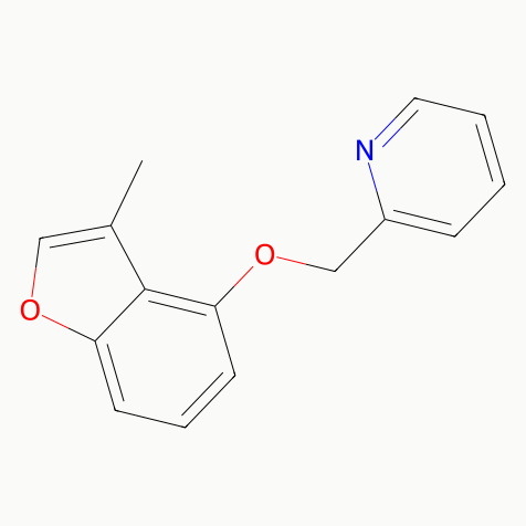 Cc1coc2cccc(OCc3ccccn3)c12